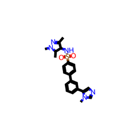 CC1=NN(C)C(C)C1NS(=O)(=O)c1ccc(-c2cccc(-c3cncn3C)c2)cc1